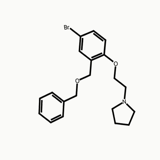 Brc1ccc(OCCN2CCCC2)c(COCc2ccccc2)c1